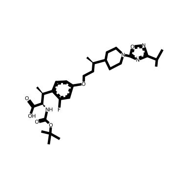 CC(C)c1noc(N2CCC([C@H](C)CCOc3ccc([C@H](C)[C@H](NC(=O)OC(C)(C)C)C(=O)O)c(F)c3)CC2)n1